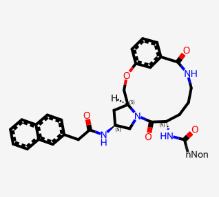 CCCCCCCCCC(=O)N[C@H]1CCCNC(=O)c2cccc(c2)OC[C@@H]2C[C@H](NC(=O)Cc3ccc4ccccc4c3)CN2C1=O